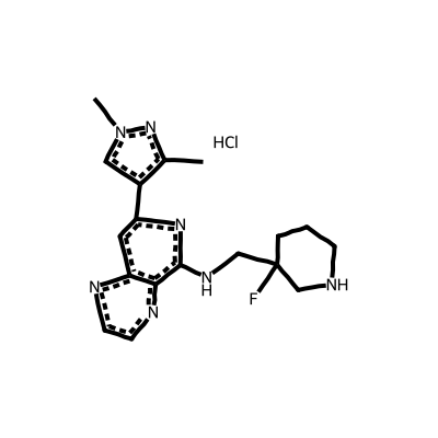 Cc1nn(C)cc1-c1cc2nccnc2c(NCC2(F)CCCNC2)n1.Cl